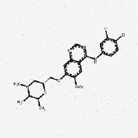 COc1cc2c(Nc3ccc(Cl)c(Cl)c3)ncnc2cc1OC[C@H]1CN(C)C(C)[C@H](C)O1